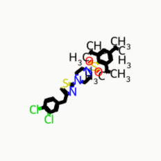 CC(C)c1cc(C(C)C)c(S(=O)(=O)N2CCN(c3nc(Cc4ccc(Cl)c(Cl)c4)cs3)CC2)c(C(C)C)c1